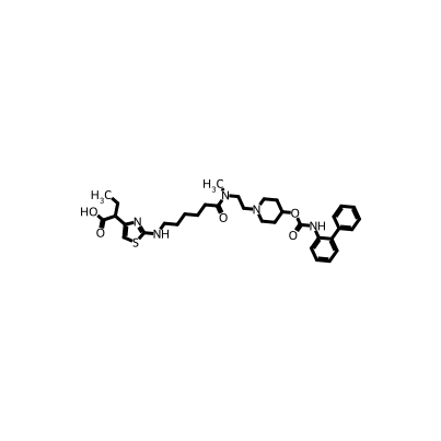 CCC(C(=O)O)c1csc(NCCCCCC(=O)N(C)CCN2CCC(OC(=O)Nc3ccccc3-c3ccccc3)CC2)n1